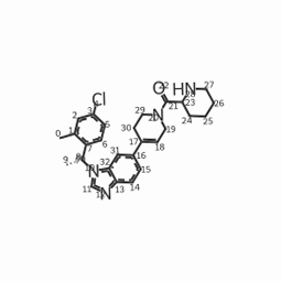 Cc1cc(Cl)ccc1[C@@H](C)n1cnc2ccc(C3=CCN(C(=O)C4CCCCN4)CC3)cc21